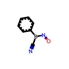 N#CB(N=O)c1ccccc1